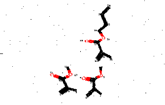 C=C(C)C(=O)OC.C=C(C)C(=O)OC.C=C(C)C(=O)OCCCC